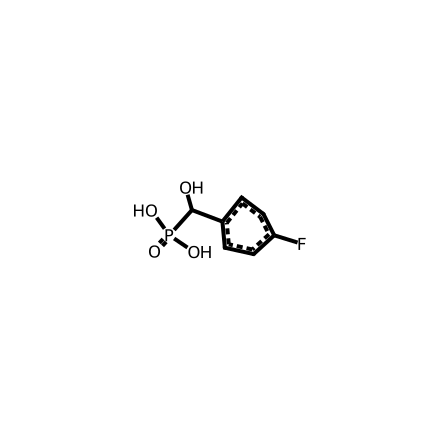 O=P(O)(O)C(O)c1ccc(F)cc1